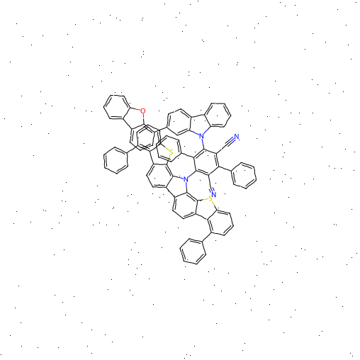 N#Cc1c(-c2ccccc2)c(C#N)c(-n2c3c(ccc4c3sc3cccc(-c5ccccc5)c34)c3ccc4c(sc5cccc(-c6ccccc6)c54)c32)c(-c2ccccc2)c1-n1c2ccccc2c2ccc(-c3cccc4c3oc3ccccc34)cc21